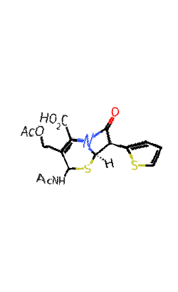 CC(=O)NC1S[C@@H]2[C@H](c3cccs3)C(=O)N2C(C(=O)O)=C1COC(C)=O